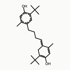 CC1=CC(O)=C(C(C)(C)C)CC1=CCCCc1cc(C(C)(C)C)c(O)cc1C